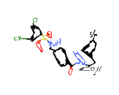 [CH3][Sn]([CH3])([CH3])[c]1ccc(C[C@H](NC(=O)c2ccc(CNS(=O)(=O)c3cc(Cl)cc(Cl)c3)cc2)C(=O)O)cc1